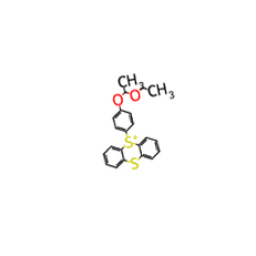 CCOC(C)Oc1ccc([S+]2c3ccccc3Sc3ccccc32)cc1